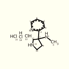 CNC1(c2ccccn2)CCNC1.Cl.Cl.Cl